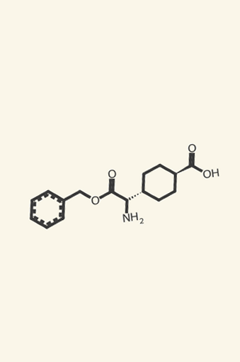 NC(C(=O)OCc1ccccc1)[C@H]1CC[C@H](C(=O)O)CC1